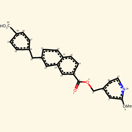 COc1cc(COC(=O)c2ccc3ccc(Cc4ccc(C(=O)O)cc4)cc3c2)ccn1